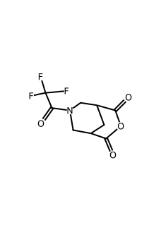 O=C1OC(=O)C2CC1CN(C(=O)C(F)(F)F)C2